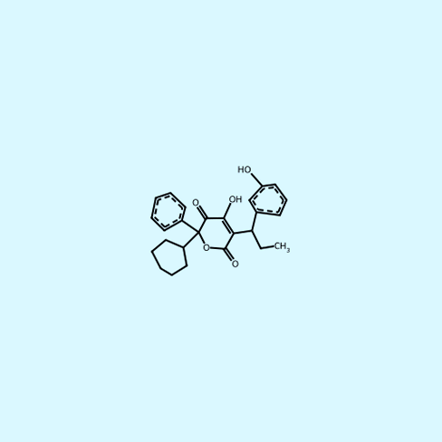 CCC(C1=C(O)C(=O)C(c2ccccc2)(C2CCCCC2)OC1=O)c1cccc(O)c1